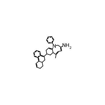 C/C1=C\C=C(\N)CN(c2ccccc2)C2=CCC(C3=c4ccccc4=C4C=CCCC4C3)CC21